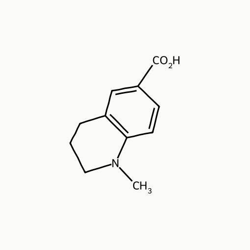 CN1CCCc2cc(C(=O)O)ccc21